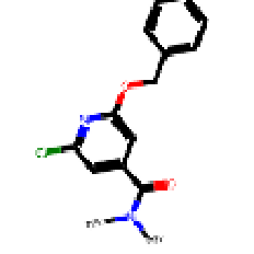 CCCN(CCC)C(=O)c1cc(Cl)nc(OCc2ccccc2)c1